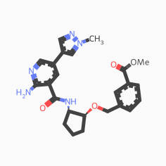 COC(=O)c1cccc(CO[C@H]2CCC[C@@H]2NC(=O)c2cc(-c3cnn(C)c3)cnc2N)c1